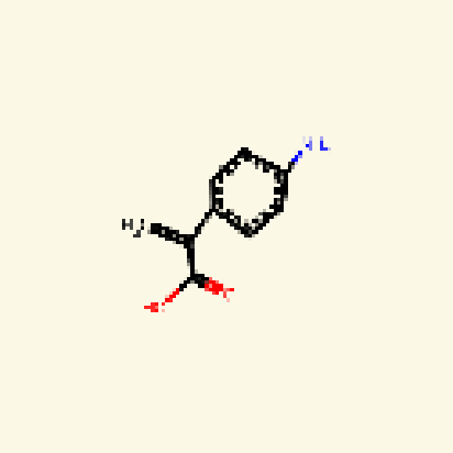 C=C(C(=O)O)c1ccc(N)cc1